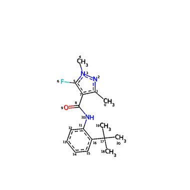 Cc1nn(C)c(F)c1C(=O)Nc1ccccc1C(C)(C)C